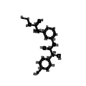 CCOC(=O)Nc1cccc(OC(=O)N(Cl)c2ccc(F)cc2)c1